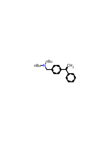 C=C(c1ccccc1)c1ccc(CN(CCCC)CCCC)cc1